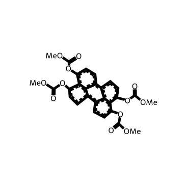 COC(=O)Oc1ccc2c3ccc(OC(=O)OC)c4c(OC(=O)OC)ccc(c5ccc(OC(=O)OC)c1c25)c43